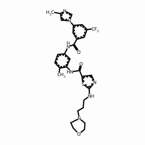 Cc1cn(-c2cc(C(=O)Nc3ccc(C)c(NC(=O)c4cnc(NCCCN5CCOCC5)s4)c3)cc(C(F)(F)F)c2)cn1